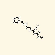 CCOC(Cl)=CC(=C=O)OCCCCOc1ccccc1